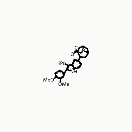 COc1ccc(-c2[nH]c3ccc(C4CCC5CC(C4)N5CC(=O)Cl)cc3c2C(C)C)cc1OC